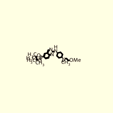 COCCN(C)[C@H]1CC[C@H](Nc2ncc3cc(B4OC(C)(C)C(C)(C)O4)ccc3n2)CC1